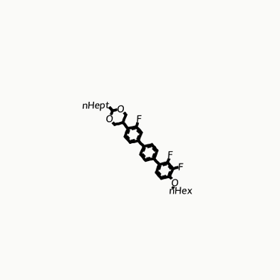 CCCCCCCC1OCC(c2ccc(-c3ccc(-c4ccc(OCCCCCC)c(F)c4F)cc3)cc2F)CO1